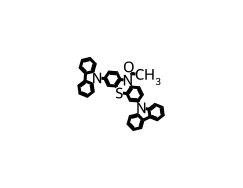 CC(=O)N1c2ccc(-n3c4ccccc4c4ccccc43)cc2Sc2cc(-n3c4ccccc4c4ccccc43)ccc21